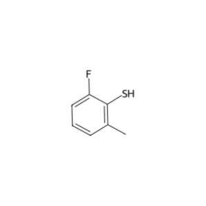 Cc1cccc(F)c1S